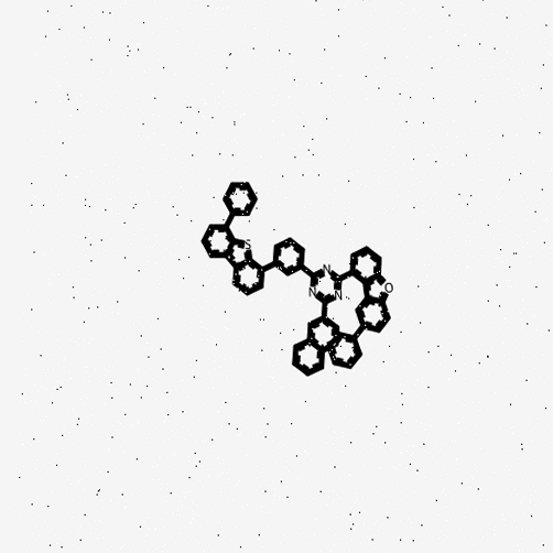 c1ccc(-c2ccc3oc4cccc(-c5nc(-c6cccc(-c7cccc8c7sc7c(-c9ccccc9)cccc78)c6)nc(-c6ccc7ccccc7c6)n5)c4c3c2)cc1